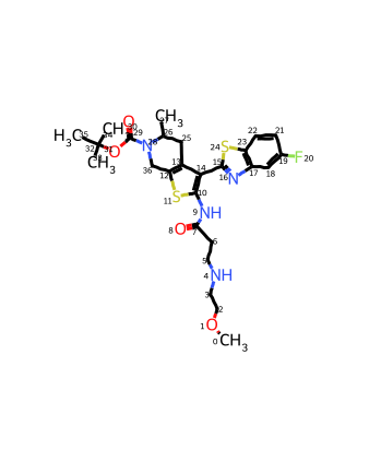 COCCNCCC(=O)Nc1sc2c(c1-c1nc3cc(F)ccc3s1)CC(C)N(C(=O)OC(C)(C)C)C2